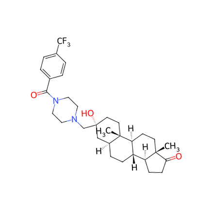 C[C@]12CC[C@](O)(CN3CCN(C(=O)c4ccc(C(F)(F)F)cc4)CC3)C[C@@H]1CC[C@@H]1[C@@H]2CC[C@]2(C)C(=O)CC[C@@H]12